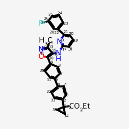 CCOC(=O)C1(c2ccc(-c3ccc(-c4onc(C)c4Nc4cccc(-c5cccc(F)c5)n4)cc3)cc2)CC1